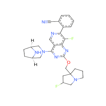 N#Cc1ccccc1-c1ncc2c(N3C[C@H]4CC[C@@H](C3)N4)nc(OCC34CCCN3CC(F)C4)nc2c1F